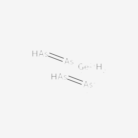 [As-]=[AsH].[As-]=[AsH].[GeH2+2]